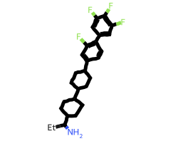 CCC(N)C1CCC(C2CCC(c3ccc(-c4cc(F)c(F)c(F)c4)c(F)c3)CC2)CC1